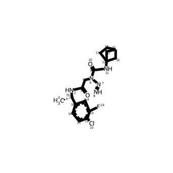 C[C@H](NC(=O)CN(N=N)C(=O)NC12CCC(C1)C2)c1ccc(Cl)c(F)c1